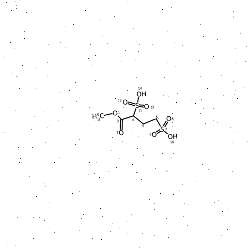 COC(=O)C(CCS(=O)(=O)O)S(=O)(=O)O